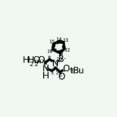 CC(C)(C)OC(=O)C1CNCCN1[B]c1ccccc1.O.O